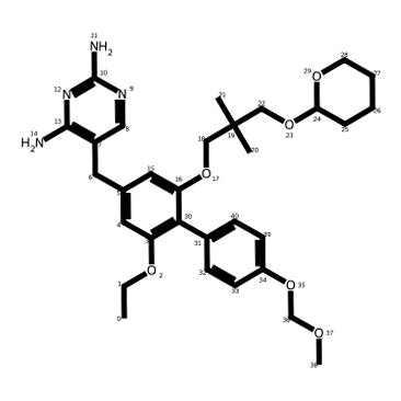 CCOc1cc(Cc2cnc(N)nc2N)cc(OCC(C)(C)COC2CCCCO2)c1-c1ccc(OCOC)cc1